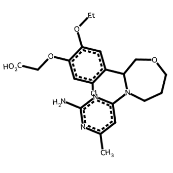 CCOc1cc(C2COCCCN2c2cc(C)nc(N)n2)c(Cl)cc1OCC(=O)O